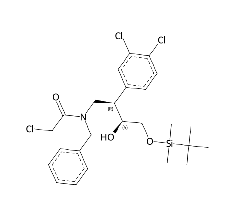 CC(C)(C)[Si](C)(C)OC[C@@H](O)[C@@H](CN(Cc1ccccc1)C(=O)CCl)c1ccc(Cl)c(Cl)c1